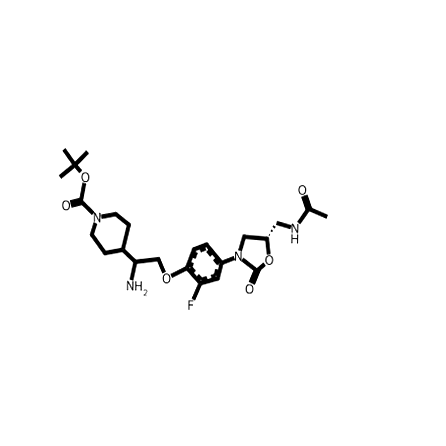 CC(=O)NC[C@H]1CN(c2ccc(OCC(N)C3CCN(C(=O)OC(C)(C)C)CC3)c(F)c2)C(=O)O1